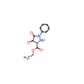 CCOC(=O)C1NN(c2ccccc2)C(=O)C1=O